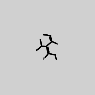 C/C=C(F)\C(=C(\F)CC)C(C)C